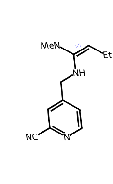 CC/C=C(/NC)NCc1ccnc(C#N)c1